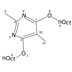 CCCCCCCCOc1nc(C)nc(OCCCCCCCC)c1C